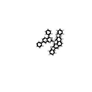 c1ccc(-c2ccc3c(-c4ccccc4)nc(-n4c5c6oc7ccccc7c6cc6ccc7cc8c9ccccc9sc8c4c7c65)nc3c2)cc1